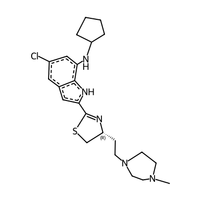 CN1CCN(CC[C@@H]2CSC(c3cc4cc(Cl)cc(NC5CCCC5)c4[nH]3)=N2)CC1